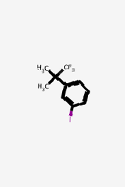 CC(C)(c1cccc(I)c1)C(F)(F)F